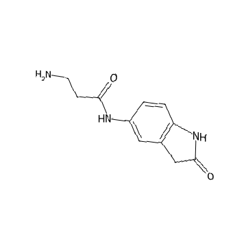 NCCC(=O)Nc1ccc2c(c1)CC(=O)N2